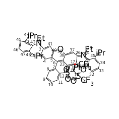 CCN(c1ccc2c(-c3ccccc3S(=O)(=O)C(CC(F)(F)F)S(=O)(=O)C(F)(F)F)c3cc/c(=[N+](/CC)c4c(C(C)C)cccc4C(C)C)cc-3oc2c1)c1c(C(C)C)cccc1C(C)C